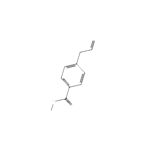 C=CCc1ccc(C(=O)NO)cc1